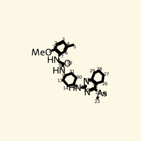 COc1ccc(C)cc1NC(=O)N[C@H]1CC[C@@H](Nc2nc3c(c([As](C)C)n2)CCCC3)CC1